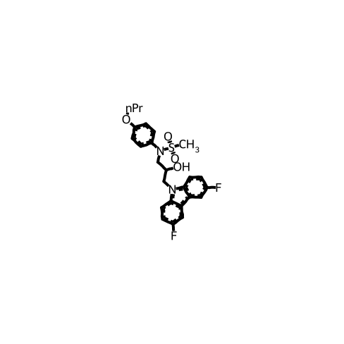 CCCOc1ccc(N(CC(O)Cn2c3ccc(F)cc3c3cc(F)ccc32)S(C)(=O)=O)cc1